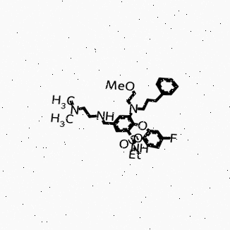 CCNS(=O)(=O)c1cc(CNCCN(C)C)cc(N(CCCc2ccccc2)CCOC)c1Oc1cccc(F)c1